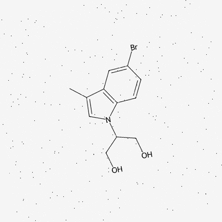 Cc1cn(C(CO)CO)c2ccc(Br)cc12